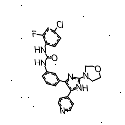 O=C(Nc1cccc(-c2nc(N3CCOCC3)[nH]c2-c2ccncc2)c1)Nc1ccc(Cl)cc1F